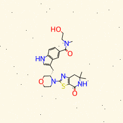 CN(CCO)C(=O)c1ccc2[nH]cc(C[C@H]3COCCN3c3nc4c(s3)C(=O)NC(C)(C)C4)c2c1